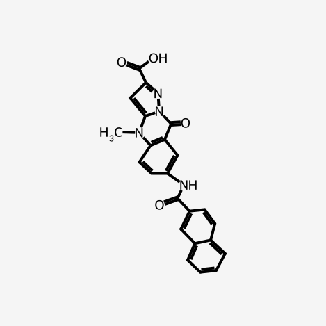 Cn1c2ccc(NC(=O)c3ccc4ccccc4c3)cc2c(=O)n2nc(C(=O)O)cc12